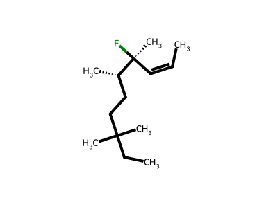 C/C=C\[C@](C)(F)[C@@H](C)CCC(C)(C)CC